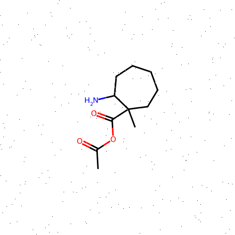 CC(=O)OC(=O)C1(C)CCCCCC1N